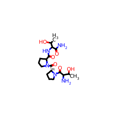 CC(O)C(N)C(=O)N1CCC[C@@H]1C(=O)N1CCCC1C(=O)NC(C(N)=O)C(C)O